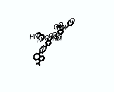 C=C(C)c1cccc2c1CCCCC2N1CCN(c2ccc(C(=O)NS(=O)(=O)c3ccc(NCC4CCOCC4)c([N+](=O)[O-])c3)c(Oc3cnc4[nH]ccc4c3)c2)CC1